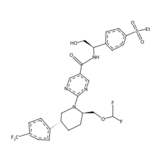 CCS(=O)(=O)c1ccc([C@H](CO)NC(=O)c2cnc(N3C[C@@H](c4ccc(C(F)(F)F)cc4)CC[C@@H]3COC(F)F)nc2)cc1